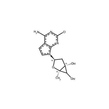 C[C@]12O[C@@H](n3ccc4c(N)nc(Cl)nc43)C[C@@]1(O)C2O